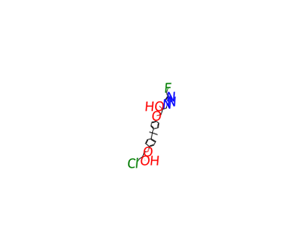 CC(C)(c1ccc(OC[C@H](O)CCl)cc1)c1ccc(OC[C@@H](O)Cn2cc(CF)nn2)cc1